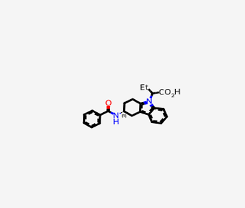 CCC(C(=O)O)n1c2c(c3ccccc31)C[C@H](NC(=O)c1ccccc1)CC2